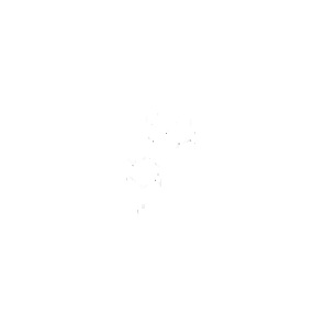 CC1(C)Nc2ccc(Br)nc2OC1=O